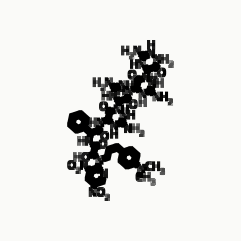 CN(C)c1ccc(/C=C\CN(c2ncc([N+](=O)[O-])cc2[N+](=O)[O-])C(O)C(=O)NC(C(=O)NC(NC(=N)N)C(=O)NC(NC(=N)N)C(=O)NC(NC(=N)N)C(=O)NC(NC(=N)N)C(N)=O)c2ccccc2)cc1